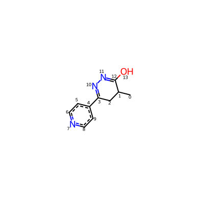 CC1CC(c2ccncc2)=NN=C1O